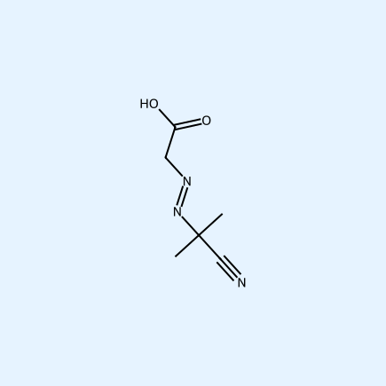 CC(C)(C#N)N=NCC(=O)O